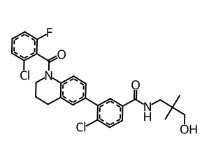 CC(C)(CO)CNC(=O)c1ccc(Cl)c(-c2ccc3c(c2)CCCN3C(=O)c2c(F)cccc2Cl)c1